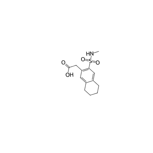 CNS(=O)(=O)c1cc2c(cc1CC(=O)O)CCCC2